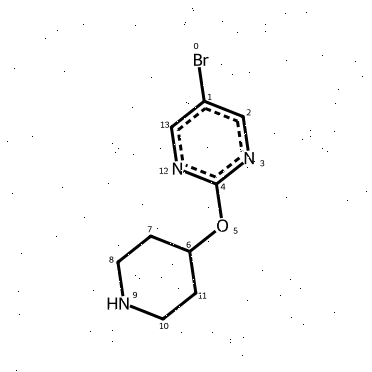 Brc1cnc(OC2CCNCC2)nc1